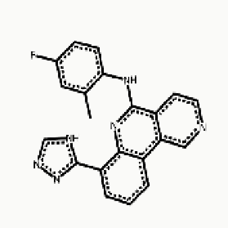 Cc1cc(F)ccc1Nc1nc2c(-c3nnc[nH]3)cccc2c2cnccc12